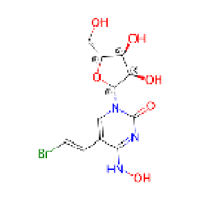 O=c1nc(NO)c(C=CBr)cn1[C@@H]1O[C@H](CO)[C@@H](O)[C@H]1O